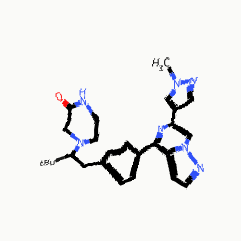 Cn1cc(-c2cn3nccc3c(-c3ccc(CC(N4CCNC(=O)C4)C(C)(C)C)cc3)n2)cn1